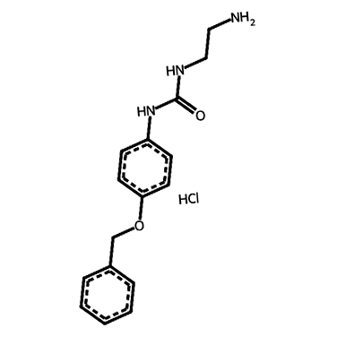 Cl.NCCNC(=O)Nc1ccc(OCc2ccccc2)cc1